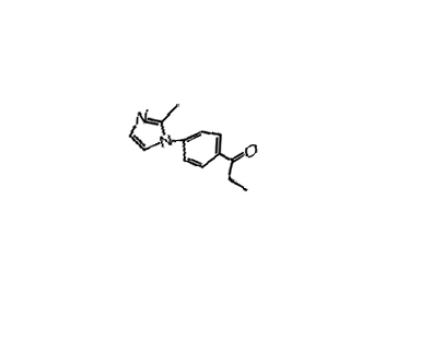 CCC(=O)c1ccc(-n2ccnc2C)cc1